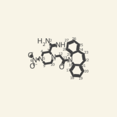 N=C(N)C1CN([N+](=O)[O-])CCN1CC(=O)N1c2ccccc2C=Cc2ccccc21